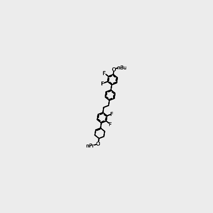 CCCCOc1ccc(-c2ccc(CCc3ccc(C4=CCC(OCCC)CC4)c(F)c3F)cc2)c(F)c1F